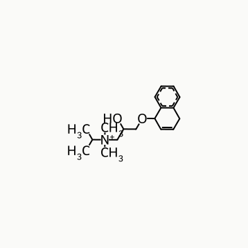 CC(C)[N+](C)(C)CC(O)COC1C=CCc2ccccc21